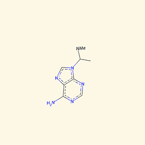 CNC(C)n1cnc2c(N)ncnc21